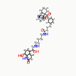 O=C(CCCc1cccc(OC(=O)C2([C@@H]3CN4CCC3CC4)CCCCC2)c1)NCCCCCNC[C@H](O)c1ccc(O)c2[nH]c(=O)ccc12